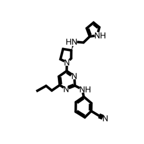 CCCc1cc(N2CC[C@H](NCc3ccc[nH]3)C2)nc(Nc2cccc(C#N)c2)n1